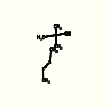 CC(C)(C)O.CSSC